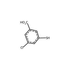 O=C(O)c1cc(S)cc(Cl)c1